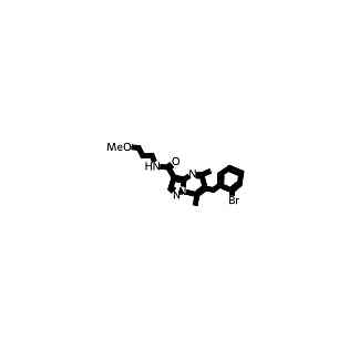 COCCCNC(=O)c1cnn2c(C)c(Cc3ccccc3Br)c(C)nc12